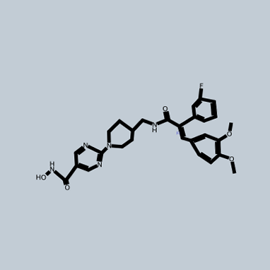 COc1ccc(/C=C(/C(=O)NCC2CCN(c3ncc(C(=O)NO)cn3)CC2)c2cccc(F)c2)cc1OC